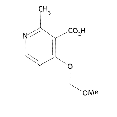 COCOc1ccnc(C)c1C(=O)O